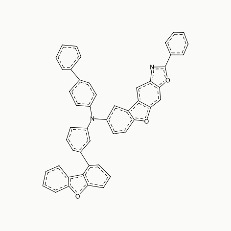 c1ccc(-c2ccc(N(c3cccc(-c4cccc5oc6ccccc6c45)c3)c3ccc4oc5cc6oc(-c7ccccc7)nc6cc5c4c3)cc2)cc1